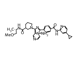 COC[C@H](C)NC(=O)C1CCCN(C2=C3C=NC=C[N+]3(N)C(c3ccc(C(=O)Nc4cc(C5CC5)ccn4)cc3)=N2)C1